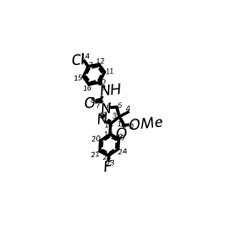 COC(=O)C1(C)CN(C(=O)Nc2ccc(Cl)cc2)N=C1c1ccc(F)cc1